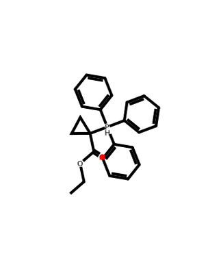 CCOC(=O)C1([PH](c2ccccc2)(c2ccccc2)c2ccccc2)CC1